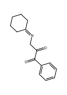 O=C(CN=C1CCCCC1)C(=O)c1ccccc1